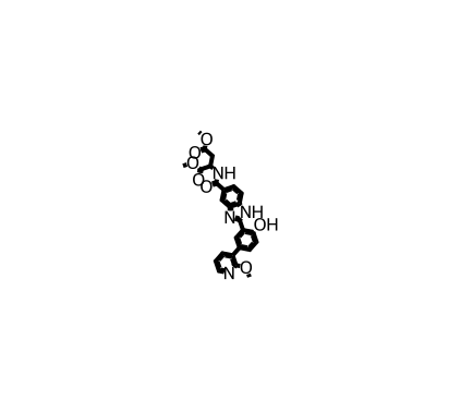 COC(=O)CC(NC(=O)c1ccc2[nH]c(-c3cc(-c4cccnc4OC)ccc3O)nc2c1)C(=O)OC